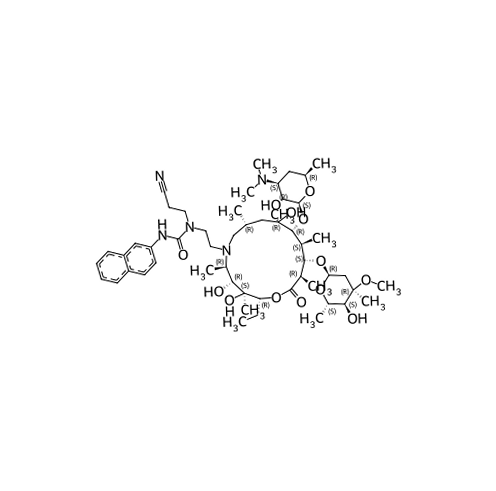 CC[C@H]1OC(=O)[C@H](C)[C@@H](O[C@H]2C[C@@](C)(OC)[C@@H](O)[C@H](C)O2)[C@H](C)[C@@H](O[C@@H]2O[C@H](C)C[C@H](N(C)C)[C@H]2O)[C@](C)(O)C[C@@H](C)CN(CCN(CCC#N)C(=O)Nc2ccc3ccccc3c2)[C@H](C)[C@@H](O)[C@]1(C)O